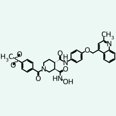 Cc1cc(COc2ccc(NC(=O)[C@H]3CCN(C(=O)c4ccc(S(C)(=O)=O)cc4)C[C@@H]3C(=O)NO)cc2)c2ccccc2n1